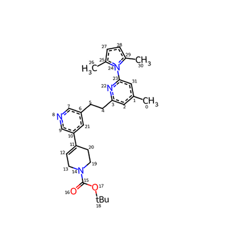 Cc1cc(CCc2cncc(C3=CCN(C(=O)OC(C)(C)C)CC3)c2)nc(-n2c(C)ccc2C)c1